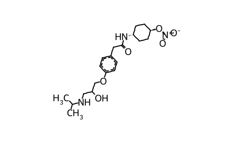 CC(C)NCC(O)COc1ccc(CC(=O)N[C@H]2CC[C@H](O[N+](=O)[O-])CC2)cc1